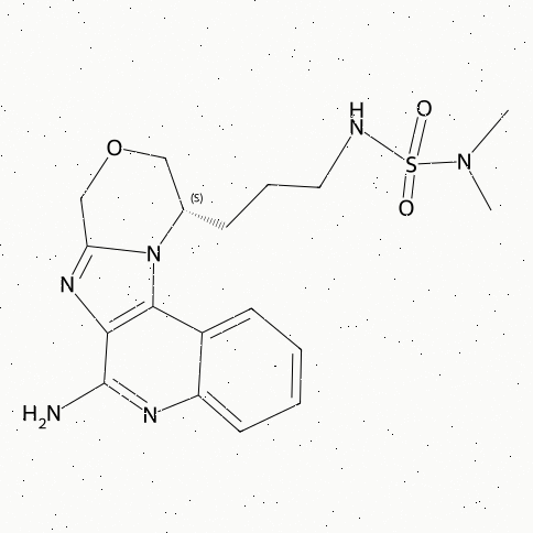 CN(C)S(=O)(=O)NCCC[C@H]1COCc2nc3c(N)nc4ccccc4c3n21